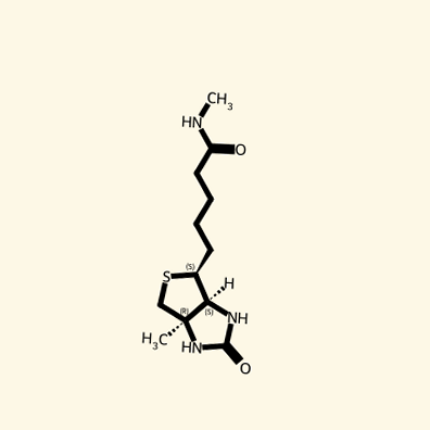 CNC(=O)CCCC[C@@H]1SC[C@]2(C)NC(=O)N[C@H]12